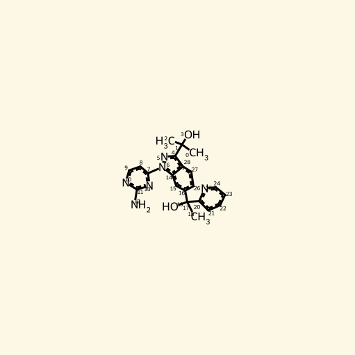 CC(C)(O)c1nn(-c2ccnc(N)n2)c2cc(C(C)(O)c3ccccn3)ccc12